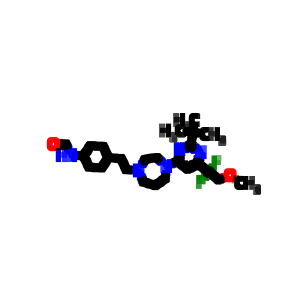 COCC(F)(F)c1cc(N2CCCN(CCC3CCC(NC=O)CC3)CC2)nc(C(C)(C)C)n1